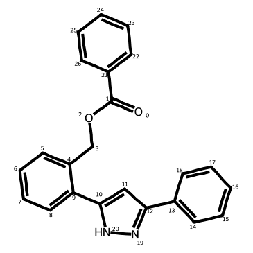 O=C(OCc1ccccc1-c1cc(-c2ccccc2)n[nH]1)c1ccccc1